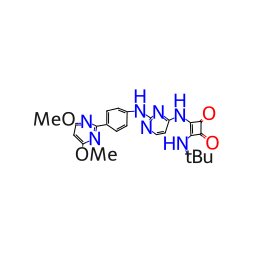 COc1cc(OC)nc(-c2ccc(Nc3nccc(Nc4c(NC(C)(C)C)c(=O)c4=O)n3)cc2)n1